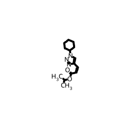 CC(C)OC(=O)/C=C\c1cn(C2CCCCC2)nn1